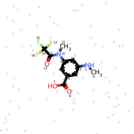 CNc1cc(C(=O)O)cc(N(C)C(=O)C(F)(F)F)c1